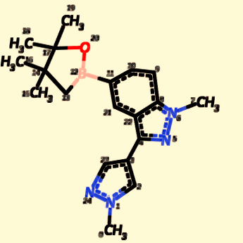 Cn1cc(-c2nn(C)c3ccc(B4CC(C)(C)C(C)(C)O4)cc23)cn1